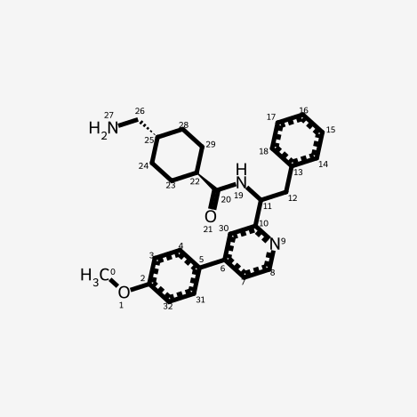 COc1ccc(-c2ccnc(C(Cc3ccccc3)NC(=O)[C@H]3CC[C@H](CN)CC3)c2)cc1